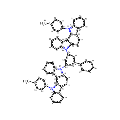 Cc1ccc(-n2c3ccccc3c3ccc4c(c5ccccc5n4-c4cc(-c5ccccc5)cc(-n5c6ccccc6c6c5ccc5c7ccccc7n(-c7ccc(C)cc7)c56)c4)c32)cc1